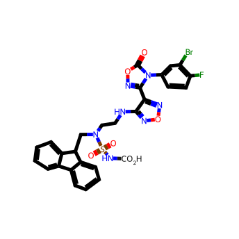 O=C(O)NS(=O)(=O)N(CCNc1nonc1-c1noc(=O)n1-c1ccc(F)c(Br)c1)CC1c2ccccc2-c2ccccc21